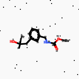 CC(C)C(C)(O)Cc1cccc(CNC(=O)OC(C)(C)C)c1